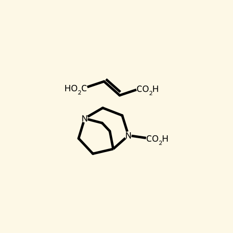 O=C(O)C=CC(=O)O.O=C(O)N1CCN2CCC1CC2